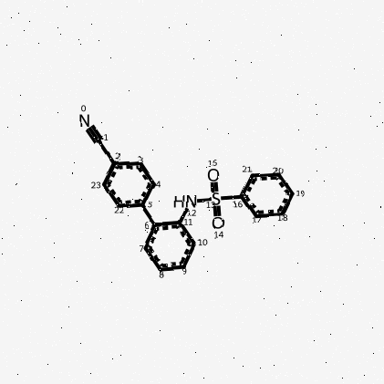 N#Cc1ccc(-c2ccccc2NS(=O)(=O)c2ccccc2)cc1